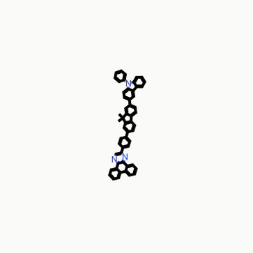 CC1(C)c2cc(-c3ccc(-c4cnc5c6ccccc6c6ccccc6c5n4)cc3)ccc2-c2ccc(-c3ccc4c(c3)c3ccccc3n4-c3ccccc3)cc21